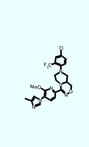 COc1nc(C2=NOCC3CN(c4ccc(Cl)cc4C(F)(F)F)CCN23)ccc1-n1cnc(C)c1